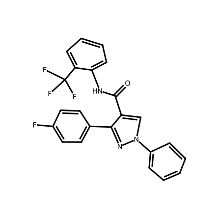 O=C(Nc1ccccc1C(F)(F)F)c1cn(-c2ccccc2)nc1-c1ccc(F)cc1